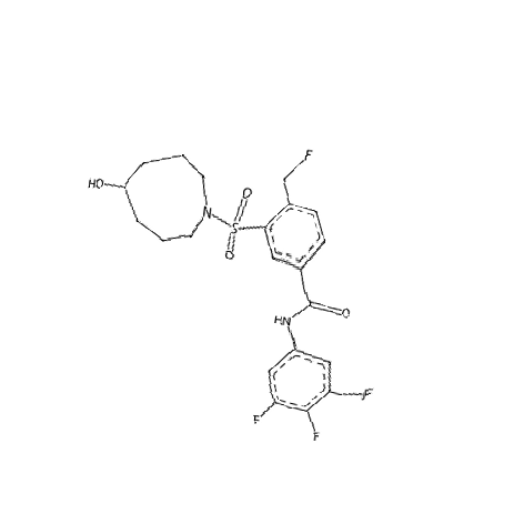 O=C(Nc1cc(F)c(F)c(F)c1)c1ccc(CF)c(S(=O)(=O)N2CCCC(O)CCC2)c1